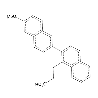 COc1ccc2cc(-c3ccc4ccccc4c3CCC(=O)O)ccc2c1